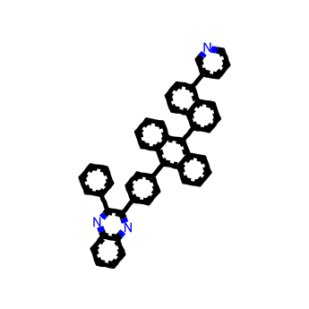 c1ccc(-c2nc3ccccc3nc2-c2ccc(-c3c4ccccc4c(-c4cccc5c(-c6cccnc6)cccc45)c4ccccc34)cc2)cc1